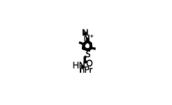 CCCNC(=O)CSc1cc(C)c([N+]#N)cc1C